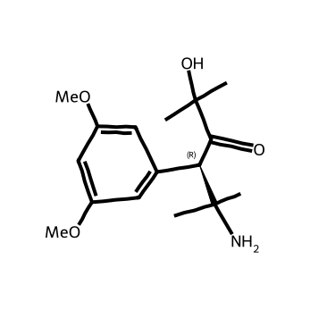 COc1cc(OC)cc([C@@H](C(=O)C(C)(C)O)C(C)(C)N)c1